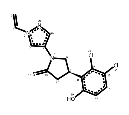 C=Cn1cc(N2C[C@@H](c3c(O)ccc(Cl)c3Cl)CC2=S)cn1